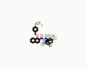 O=C(N[C@H](C(=O)O)C12C[C@H]3C[C@@](Cl)(C1)C[C@](Cl)(C3)C2)c1ccc2ccccc2c1OCc1ccc(SC(F)(F)F)cc1